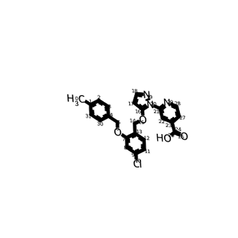 Cc1ccc(COc2cc(Cl)ccc2COc2ccnn2-c2cc(C(=O)O)ccn2)cc1